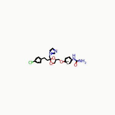 NC(=O)Nc1ccc(OCC2COC(CCc3ccc(Cl)cc3)(Cn3ccnc3)O2)cc1